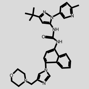 Cc1ccc(-n2nc(C(C)(C)C)cc2NC(=O)Nc2ccc(-n3cnc(CN4CCOCC4)c3)c3ccccc23)cn1